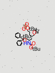 CC(C)(C)OC(=O)NC(CO[Si](c1ccccc1)(c1ccccc1)C(C)(C)C)C[C@@H](CCCOS(C)(=O)=O)CO[Si](C)(C)C(C)(C)C